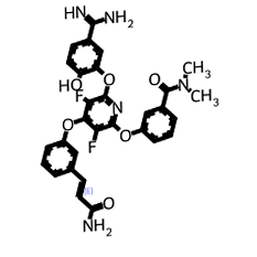 CN(C)C(=O)c1cccc(Oc2nc(Oc3cc(C(=N)N)ccc3O)c(F)c(Oc3cccc(/C=C/C(N)=O)c3)c2F)c1